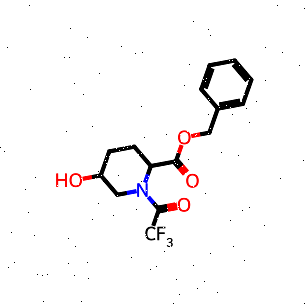 O=C(OCc1ccccc1)C1CCC(O)CN1C(=O)C(F)(F)F